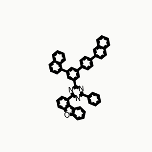 c1ccc(-c2nc(-c3cc(-c4ccc(-c5ccc6ccccc6c5)cc4)cc(-c4cccc5ccccc45)c3)nc(-c3cccc4oc5ccccc5c34)n2)cc1